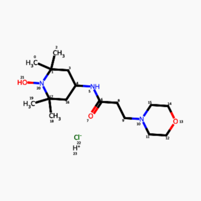 CC1(C)CC(NC(=O)CCN2CCOCC2)CC(C)(C)N1O.[Cl-].[H+]